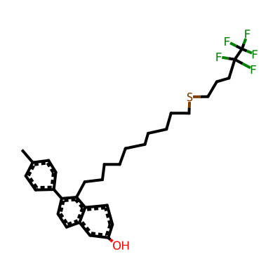 Cc1ccc(-c2ccc3cc(O)ccc3c2CCCCCCCCCCSCCCC(F)(F)C(F)(F)F)cc1